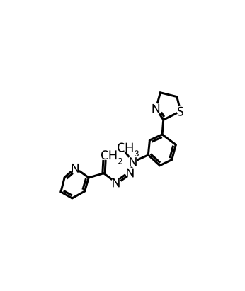 C=C(/N=N\N(C)c1cccc(C2=NCCS2)c1)c1ccccn1